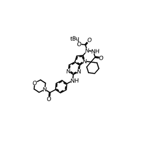 CC(C)(C)OC(=O)N1NC(=O)C2(CCCCC2)n2c1cc1cnc(Nc3ccc(C(=O)N4CCOCC4)cc3)nc12